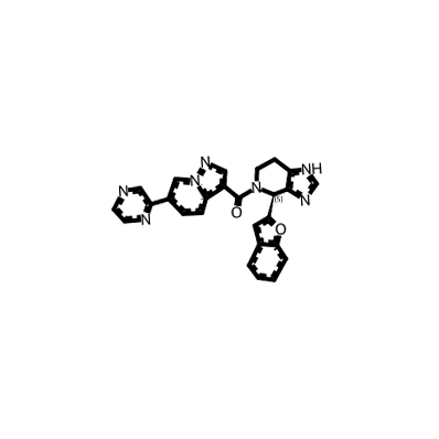 O=C(c1cnn2cc(-c3cnccn3)ccc12)N1CCc2[nH]cnc2[C@H]1c1cc2ccccc2o1